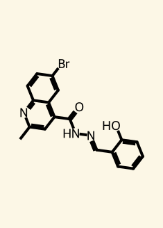 Cc1cc(C(=O)N/N=C/c2ccccc2O)c2cc(Br)ccc2n1